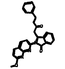 COc1ccc2ccc(N3C(=O)c4ccccc4C3CC(=O)CCc3ccccc3)nc2n1